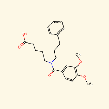 COc1ccc(C(=O)N(CCCCC(=O)O)CCCc2ccccc2)cc1OC